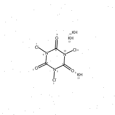 O=c1n(Cl)c(=O)n(Cl)c(=O)n1Cl.[KH].[KH].[KH]